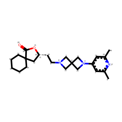 Cc1cc(N2CC3(CN(CC[C@@H]4CC5(CCCCC5)C(=O)O4)C3)C2)cc(C)n1